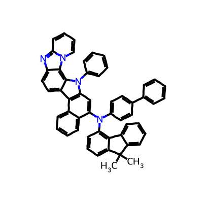 CC1(C)c2ccccc2-c2c(N(c3ccc(-c4ccccc4)cc3)c3cc4c(c5ccccc35)c3ccc5nc6ccccn6c5c3n4-c3ccccc3)cccc21